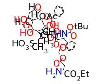 CCOC(=O)[C@@H](N)CC(=O)OCC(=O)OC(C(=O)O[C@H]1C[C@@]2(O)[C@@H](OC(=O)c3ccccc3)[C@@H]3[C@]4(OC(C)=O)CO[C@@H]4C[C@H](O)[C@@]3(C)C(=O)[C@H](O)C(=C1C)C2(C)C)C(NC(=O)OC(C)(C)C)c1ccccc1.CS(=O)(=O)O